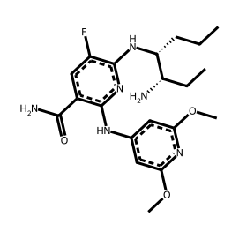 CCC[C@@H](Nc1nc(Nc2cc(OC)nc(OC)c2)c(C(N)=O)cc1F)[C@@H](N)CC